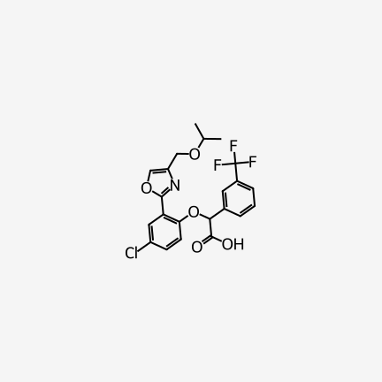 CC(C)OCc1coc(-c2cc(Cl)ccc2OC(C(=O)O)c2cccc(C(F)(F)F)c2)n1